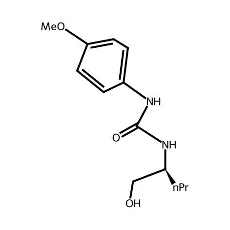 CCC[C@@H](CO)NC(=O)Nc1ccc(OC)cc1